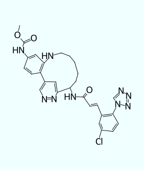 COC(=O)Nc1ccc2c(c1)NCCCCCC(NC(=O)/C=C/c1cc(Cl)ccc1-n1cnnn1)c1cc-2cnn1